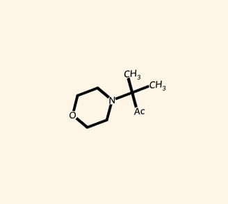 CC(=O)C(C)(C)N1CCOCC1